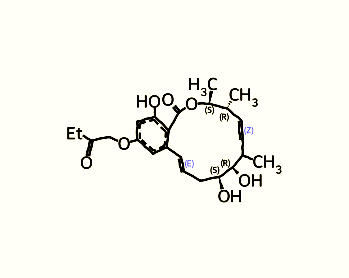 CCC(=O)COc1cc(O)c2c(c1)/C=C/C[C@H](O)[C@H](O)C(C)/C=C\[C@@H](C)[C@H](C)OC2=O